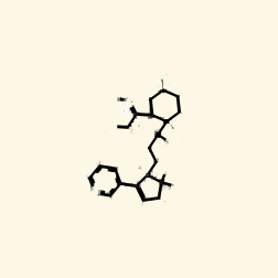 CC/C(=N\O)[C@@]1(C)C[C@@H](O)CC[C@]1(C)C(C)(C)CC[C@]1(C)C(c2cccnc2)=CCC1(C)C